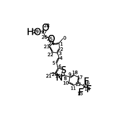 Cc1cc(C=Cc2sc(-c3ccc(C(F)(F)F)cc3)nc2C)ccc1OCC(=O)O